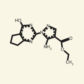 CCOC(=O)c1cnn(-c2nc(O)c3c(n2)CCC3)c1N